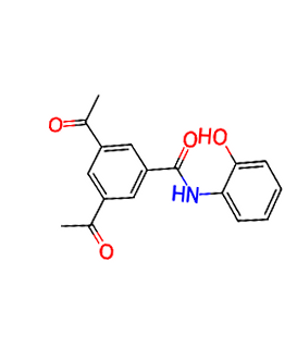 CC(=O)c1cc(C(C)=O)cc(C(=O)Nc2ccccc2O)c1